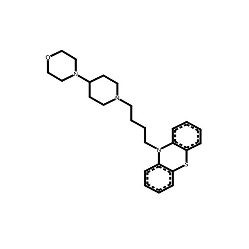 c1ccc2c(c1)Sc1ccccc1N2CCCCN1CCC(N2CCOCC2)CC1